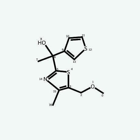 COCc1sc(C(C)(O)c2ccsc2)nc1C